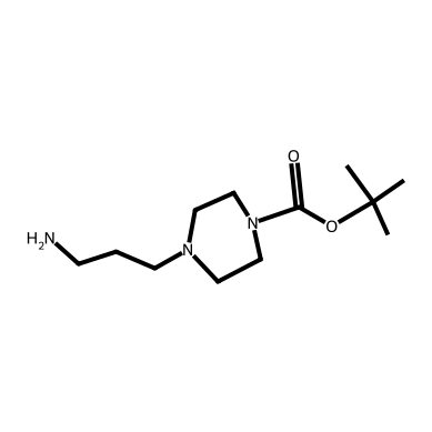 CC(C)(C)OC(=O)N1CCN(CCCN)CC1